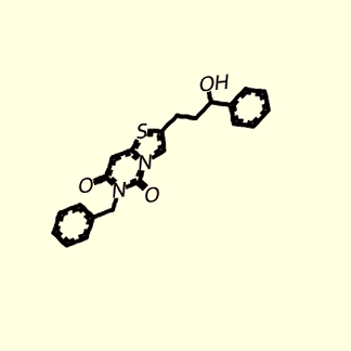 O=c1cc2sc(CCC(O)c3ccccc3)cn2c(=O)n1Cc1ccccc1